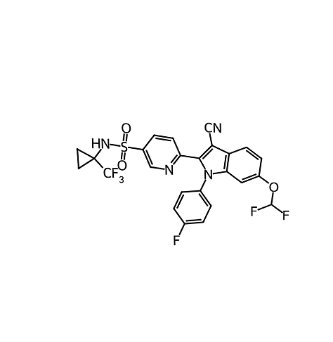 N#Cc1c(-c2ccc(S(=O)(=O)NC3(C(F)(F)F)CC3)cn2)n(-c2ccc(F)cc2)c2cc(OC(F)F)ccc12